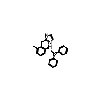 CB(c1ccccc1)c1ccccc1.Cc1cccc(C)c1Cc1ncc[nH]1